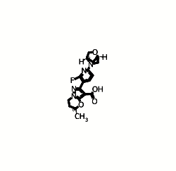 C[C@@H]1CCn2nc(-c3ccc(N4C[C@H]5C[C@@H]4CO5)nc3F)c(C(=O)O)c2O1